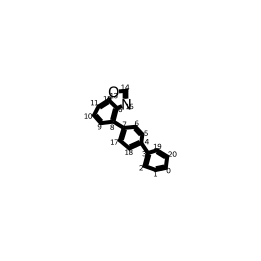 c1ccc(-c2ccc(-c3cccc4ocnc34)cc2)cc1